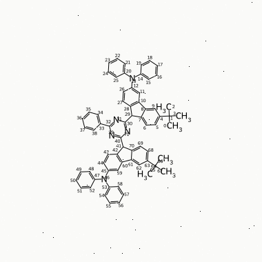 CC(C)(C)c1ccc2c(c1)-c1cc(N(c3ccccc3)c3ccccc3)ccc1C2c1nc(-c2ccccc2)nc(C2c3ccc(N(c4ccccc4)c4ccccc4)cc3-c3cc(C(C)(C)C)ccc32)n1